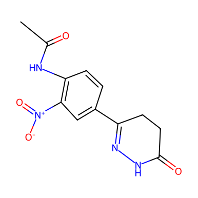 CC(=O)Nc1ccc(C2=NNC(=O)CC2)cc1[N+](=O)[O-]